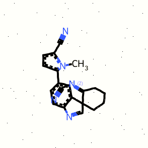 Cn1c(C#N)ccc1-c1ccc2c(c1)C1(C=N2)CCCC/C1=N/C#N